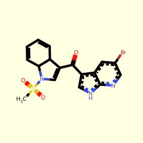 CS(=O)(=O)N1C=C(C(=O)c2c[nH]c3ncc(Br)cc23)C2C=CC=CC21